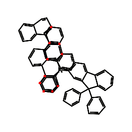 c1ccc(-c2ccccc2-c2c(-c3ccccc3)cccc2-c2ccccc2N(c2ccc(-c3cccc4ccccc34)cc2)c2ccc3c(c2)C(c2ccccc2)(c2ccccc2)c2ccccc2-3)cc1